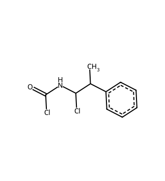 CC(c1ccccc1)C(Cl)NC(=O)Cl